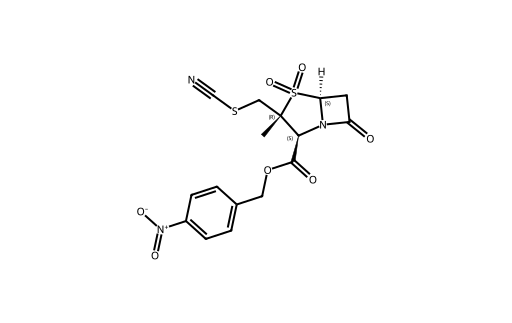 C[C@]1(CSC#N)[C@H](C(=O)OCc2ccc([N+](=O)[O-])cc2)N2C(=O)C[C@@H]2S1(=O)=O